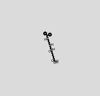 O=C(CCCCCCCC(=O)NCCCNCCCCNCCC(c1ccccc1)c1ccccc1)NO